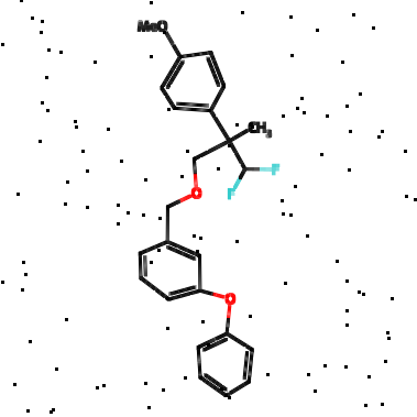 COc1ccc(C(C)(COCc2cccc(Oc3ccccc3)c2)C(F)F)cc1